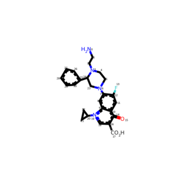 NCCN1CCN(c2cc3c(cc2F)c(=O)c(C(=O)O)cn3C2CC2)CC1c1ccccc1